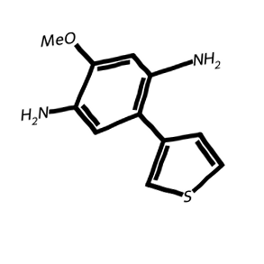 COc1cc(N)c(-c2ccsc2)cc1N